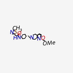 COCCOc1ccc2c(n1)CCN(CC[C@H]1CC[C@H](NC(=O)Cc3cnc(C)s3)CC1)CC2